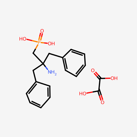 NC(Cc1ccccc1)(Cc1ccccc1)CP(=O)(O)O.O=C(O)C(=O)O